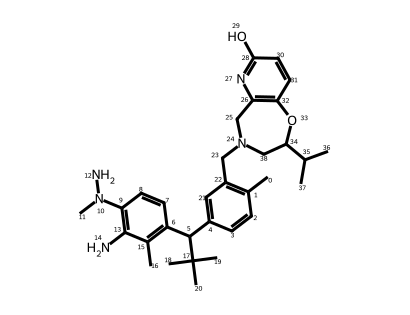 Cc1ccc(C(c2ccc(N(C)N)c(N)c2C)C(C)(C)C)cc1CN1Cc2nc(O)ccc2OC(C(C)C)C1